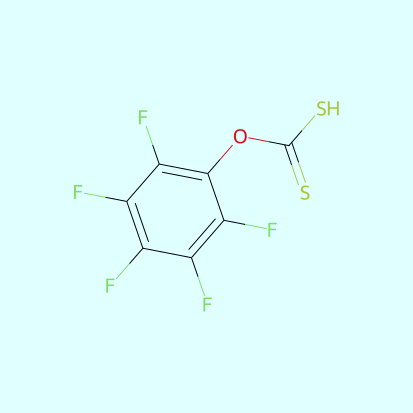 Fc1c(F)c(F)c(OC(=S)S)c(F)c1F